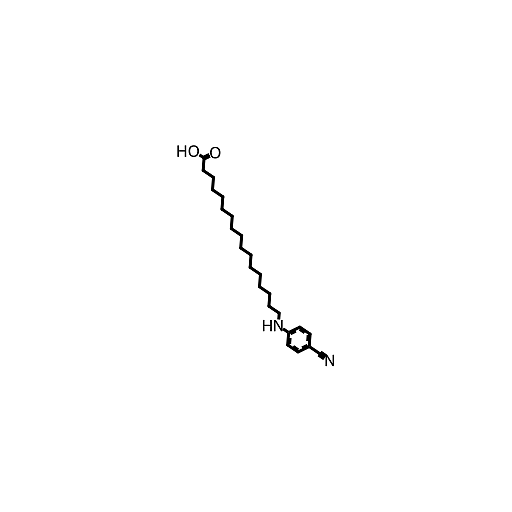 N#Cc1ccc(NCCCCCCCCCCCCCCCCC(=O)O)cc1